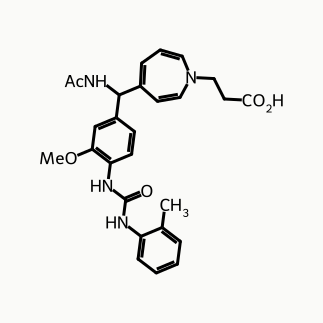 COc1cc(C(NC(C)=O)C2=CC=CN(CCC(=O)O)C=C2)ccc1NC(=O)Nc1ccccc1C